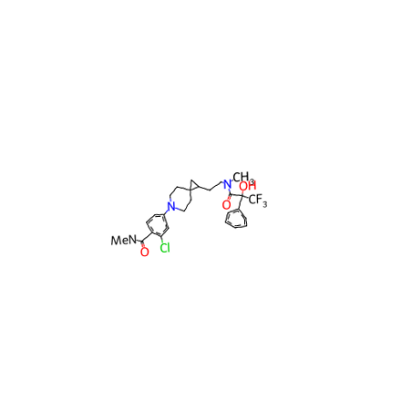 CNC(=O)c1ccc(N2CCC3(CC2)CC3CCN(C)C(=O)C(O)(c2ccccc2)C(F)(F)F)cc1Cl